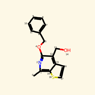 Cc1nc(OCc2ccccc2)c(CO)c2ccsc12